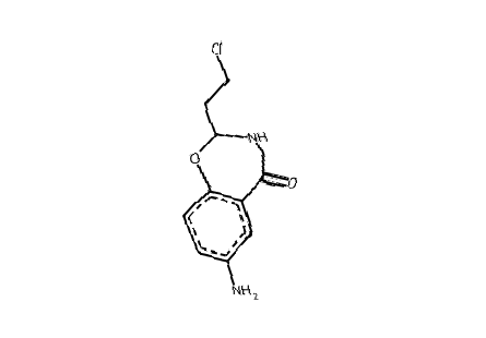 Nc1ccc2c(c1)C(=O)NC(CCCl)O2